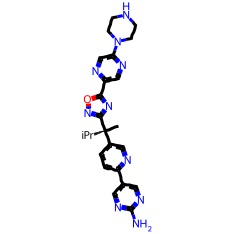 CC(C)[C@@](C)(c1ccc(-c2cnc(N)nc2)nc1)c1noc(-c2cnc(N3CCNCC3)cn2)n1